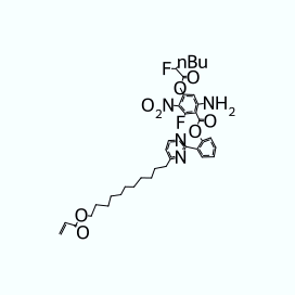 C=CC(=O)OCCCCCCCCCCCc1ccnc(-c2ccccc2OC(=O)c2c(N)cc(OC(=O)C(F)CCCC)c([N+](=O)[O-])c2F)n1